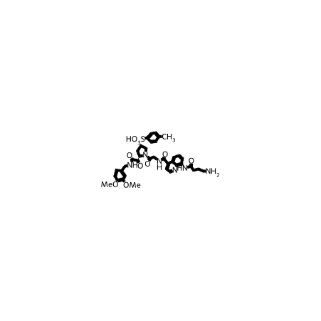 COc1ccc(CNC(=O)C(=O)[C@@H]2CCCN2C(=O)CNC(=O)c2ccnc3c(NC(=O)CCCN)cccc23)cc1OC.Cc1ccc(S(=O)(=O)O)cc1